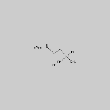 CCCCCNCC[N+](C)(CC)CC.[Cl-]